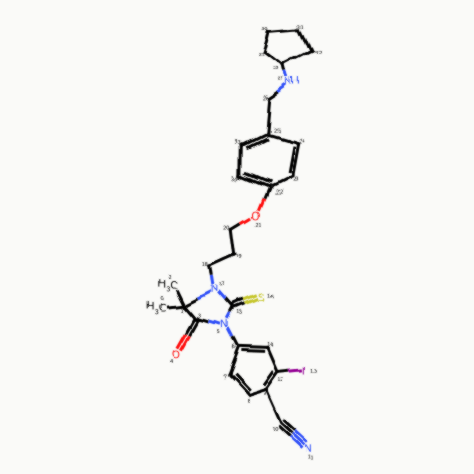 CC1(C)C(=O)N(c2ccc(C#N)c(I)c2)C(=S)N1CCCOc1ccc(CNC2CCCC2)cc1